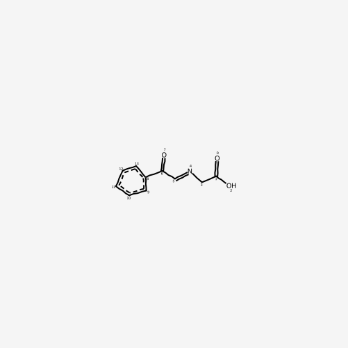 O=C(O)C/N=C/C(=O)c1ccccc1